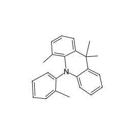 Cc1ccccc1N1c2ccccc2C(C)(C)c2cccc(C)c21